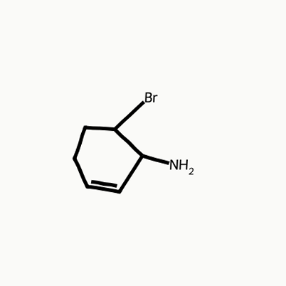 NC1C=CCCC1Br